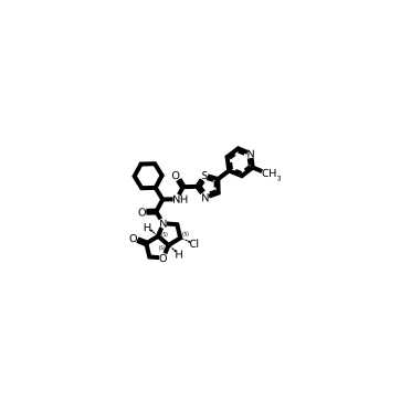 Cc1cc(-c2cnc(C(=O)NC(C(=O)N3C[C@H](Cl)[C@H]4OCC(=O)[C@H]43)C3CCCCC3)s2)ccn1